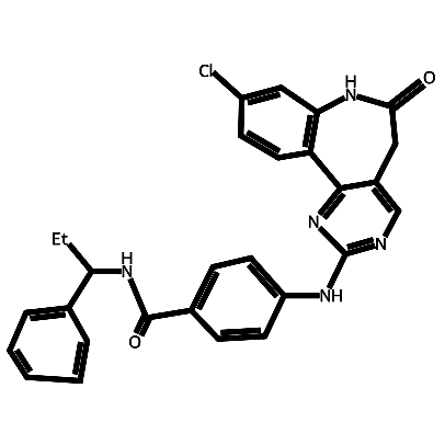 CCC(NC(=O)c1ccc(Nc2ncc3c(n2)-c2ccc(Cl)cc2NC(=O)C3)cc1)c1ccccc1